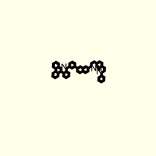 c1ccc(-c2ccc3ccc4ccc(-c5ccc6ccc(-c7cccc(-c8nc9c%10ccccc%10c%10ccccc%10c9c9ccccc89)c7)cc6c5)nc4c3n2)cc1